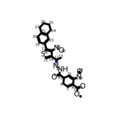 COC(=O)C1=CCC(C(=O)N/N=C(\C)c2csc(-c3ccc4c(c3)CCCC4)c2N=O)C=C1N=O